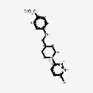 CCOC(=O)c1ccc(OCC2CCN(c3ccc(C)nn3)CC2)cc1